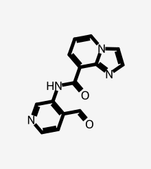 O=Cc1ccncc1NC(=O)c1cccn2ccnc12